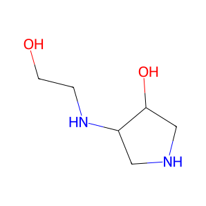 OCCNC1CNCC1O